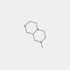 CN1CCN2CCOCC2C1